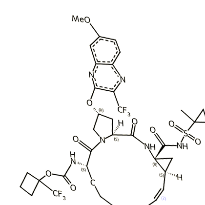 COc1ccc2nc(C(F)(F)F)c(O[C@@H]3C[C@H]4C(=O)N[C@]5(C(=O)NS(=O)(=O)C6(C)CC6)C[C@H]5/C=C\CCCCC[C@H](NC(=O)OC5(C(F)(F)F)CCC5)C(=O)N4C3)nc2c1